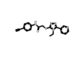 C#Cc1ccc(NC(=O)CSc2nnc(-c3cccnc3)n2CC)cc1